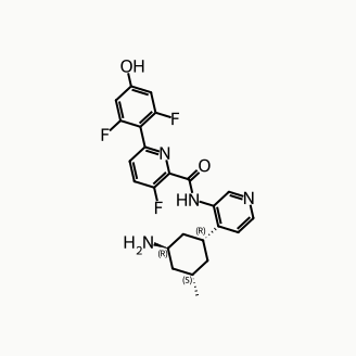 C[C@@H]1C[C@@H](N)C[C@H](c2ccncc2NC(=O)c2nc(-c3c(F)cc(O)cc3F)ccc2F)C1